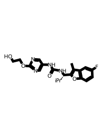 Cc1c([C@@H](NC(=O)Nc2cnc(OCCO)nc2)C(C)C)oc2ccc(F)cc12